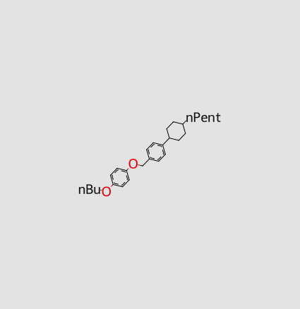 CCCCCC1CCC(c2ccc(COc3ccc(OCCCC)cc3)cc2)CC1